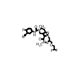 CC1Cc2nn3c(c2CN1C(=O)Nc1ccc(F)c(C#N)c1)C(=O)N(C)N=C(COCC(F)F)C3